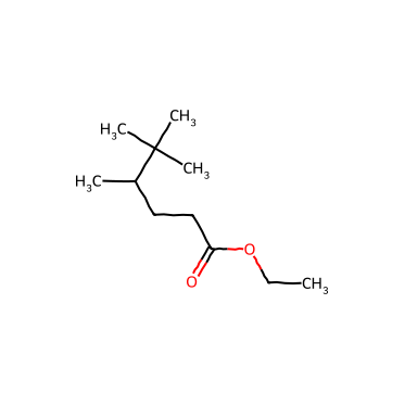 CCOC(=O)CCC(C)C(C)(C)C